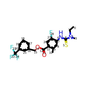 CCN(C)C(=S)Nc1cc(C)c(C(=O)OCc2cccc(C(F)(F)F)c2)cc1F